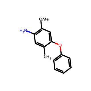 COc1cc(Oc2ccccc2)c(C)cc1N